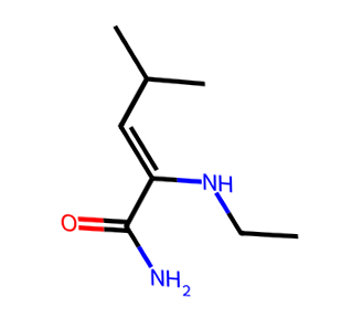 CCN/C(=C\C(C)C)C(N)=O